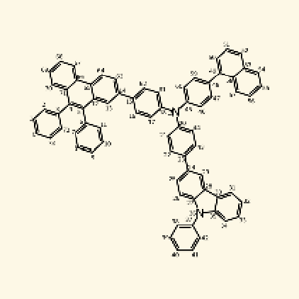 c1ccc(-c2c(-c3ccccc3)c3cc(-c4ccc(N(c5ccc(-c6ccc7c(c6)c6ccccc6n7-c6ccccc6)cc5)c5ccc(-c6cccc7ccccc67)cc5)cc4)ccc3c3ccccc23)cc1